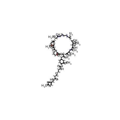 CO[C@H]1C[C@@H]2CC[C@@H](C)[C@@](O)(O2)C(=O)C(=O)N2CCCC[C@H]2C(=O)O[C@H]([C@H](N)C[C@@H]2CC[C@@H](OC(=O)NCCOCCC(=O)NCc3cnc(C)nc3)[C@H](OC)C2)C[C@@H](O)[C@H](C)/C=C(\C)[C@@H](O)[C@@H](OC)C(=O)C(C)C[C@H](C)/C=C/C=C/C=C/1C